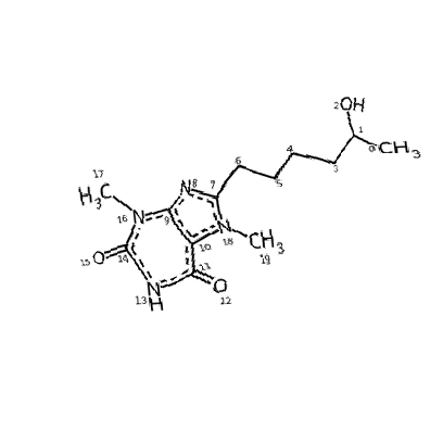 CC(O)CCCCc1nc2c(c(=O)[nH]c(=O)n2C)n1C